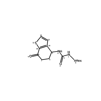 CCCCCCNC(=O)NC1CCC(=O)c2sccc21